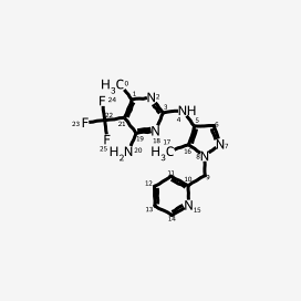 Cc1nc(Nc2cnn(Cc3ccccn3)c2C)nc(N)c1C(F)(F)F